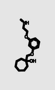 CNCCOc1cccc(OCC2(O)CCCCCC2)c1